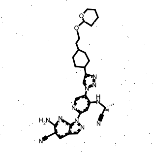 C[C@H](C#N)Nc1cc(-n2ncc3cc(C#N)c(N)nc32)ncc1-n1cc(C2CCC(CCOC3CCCCO3)CC2)nn1